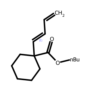 C=C/C=C/C1(C(=O)OCCCC)CCCCC1